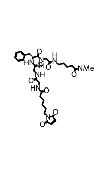 CNC(=O)CCCCNC(=O)CNC(=O)[C@H](Cc1ccccc1)NC(=O)CNC(=O)CNC(=O)CCCCCN1C(=O)C=CC1=O